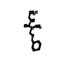 N[C@@H](CSCc1ccccc1)C(=O)NCC(=O)O